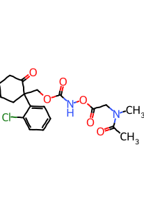 CC(=O)N(C)CC(=O)ONC(=O)OCC1(c2ccccc2Cl)CCCCC1=O